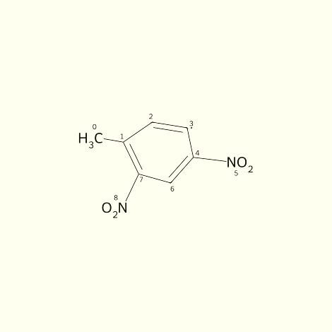 Cc1c[c]c([N+](=O)[O-])cc1[N+](=O)[O-]